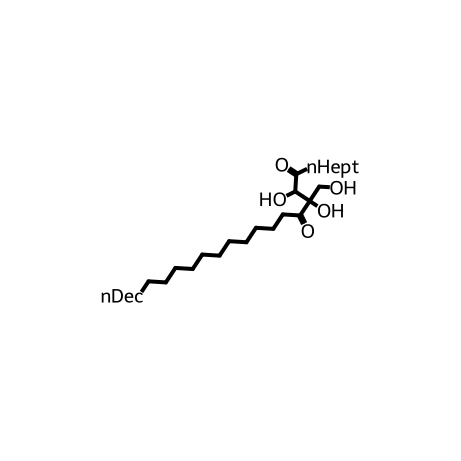 CCCCCCCCCCCCCCCCCCCCCC(=O)C(O)(CO)C(O)C(=O)CCCCCCC